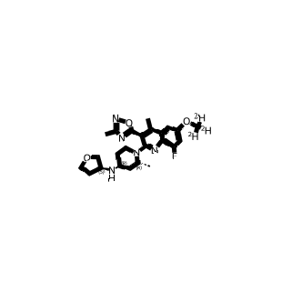 [2H]C([2H])([2H])Oc1cc(F)c2nc(N3CC[C@@H](N[C@H]4CCOC4)C[C@H]3C)c(-c3nc(C)no3)c(C)c2c1